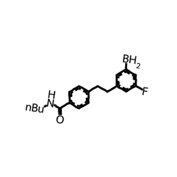 Bc1cc(F)cc(CCc2ccc(C(=O)NCCCC)cc2)c1